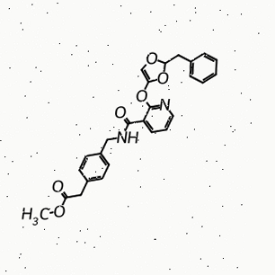 COC(=O)Cc1ccc(CNC(=O)c2cccnc2OC2=COC(Cc3ccccc3)O2)cc1